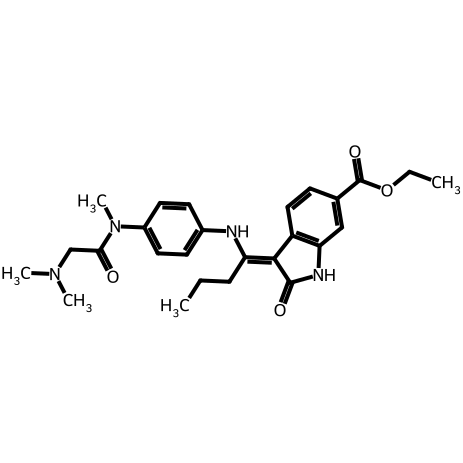 CCCC(Nc1ccc(N(C)C(=O)CN(C)C)cc1)=C1C(=O)Nc2cc(C(=O)OCC)ccc21